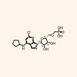 O=P(O)(O)COC[C@H]1O[C@@H](n2ncc3c(NC4CCCC4)cc(Cl)nc32)[C@H](O)[C@@H]1O